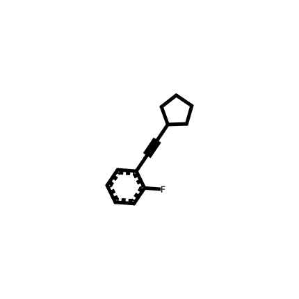 Fc1ccccc1C#CC1CCCC1